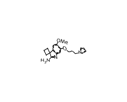 COc1cc2c(cc1OCCCn1cccc1)N=C(N)C21CCC1